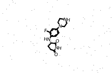 O=C1CC[C@H](Nc2ccc(N3CCNCC3)cc2F)C(=O)N1